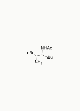 CCCCC(C)C(CCCC)NC(C)=O